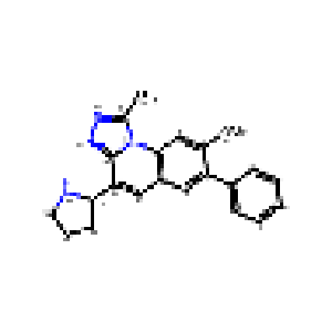 COc1cc2c(cc1-c1ccccc1)cc(C1CCCN1)c1nnc(C)n12